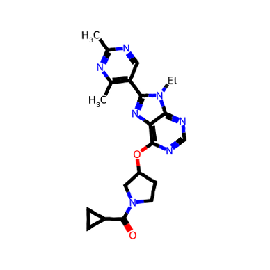 CCn1c(-c2cnc(C)nc2C)nc2c(OC3CCN(C(=O)C4CC4)C3)ncnc21